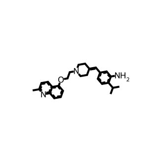 Cc1ccc2c(OCCN3CCC(=Cc4ccc(C(C)C)c(N)c4)CC3)cccc2n1